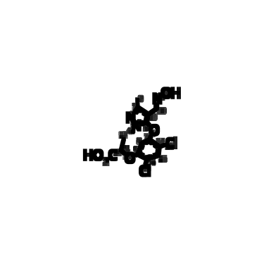 Cc1nn(C)c(Oc2cc(O[C@@H](C)C(=O)O)c(Cl)cc2Cl)c1C=NO